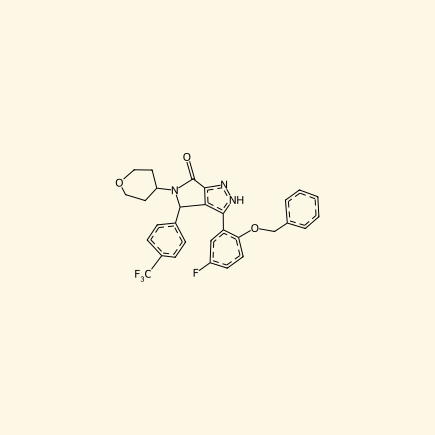 O=C1c2n[nH]c(-c3cc(F)ccc3OCc3ccccc3)c2C(c2ccc(C(F)(F)F)cc2)N1C1CCOCC1